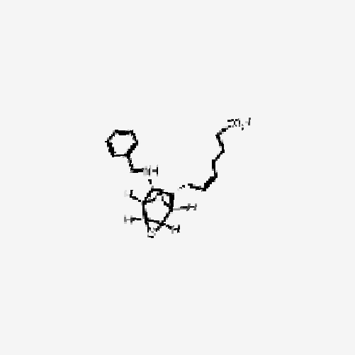 O=C(O)CCC/C=C\C[C@H]1[C@@H](NCc2ccccc2)[C@@H]2O[C@H]1[C@@H]1O[C@@H]12